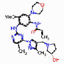 C=CC(=O)Nc1cc(Nc2ncc(C)c(-n3cc(CN4CC[C@H](O)C4)c(C)n3)n2)c(OC)cc1N1CCOCC1